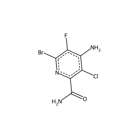 NC(=O)c1nc(Br)c(F)c(N)c1Cl